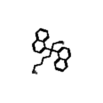 [CH2]CC(CCCCC)(c1cccc2ccccc12)c1cccc2ccccc12